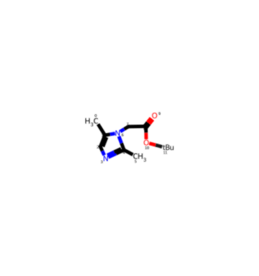 Cc1cnc(C)n1CC(=O)OC(C)(C)C